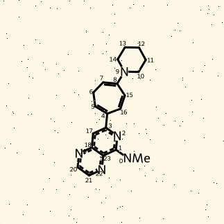 CNc1nc(C2=CCC=C(N3CCCCC3)C=C2)cc2nccnc12